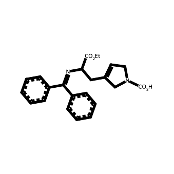 CCOC(=O)C(CC1=CCN(C(=O)O)C1)N=C(c1ccccc1)c1ccccc1